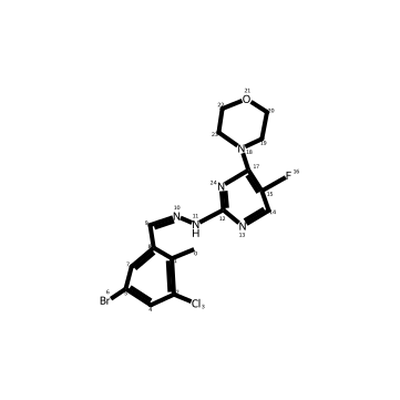 Cc1c(Cl)cc(Br)cc1/C=N\Nc1ncc(F)c(N2CCOCC2)n1